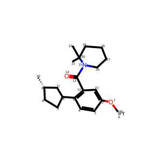 CC(C)Oc1ccc(C2CC[C@H](C)C2)c(C(=O)N2CCCCC2(C)C)c1